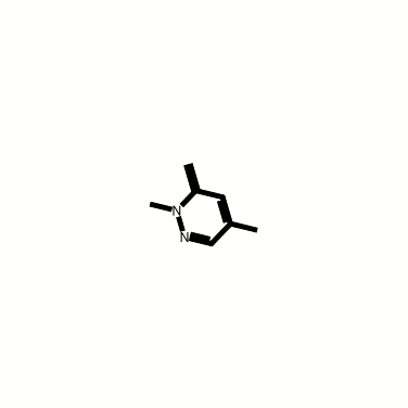 C=C1C=C(C)C=NN1C